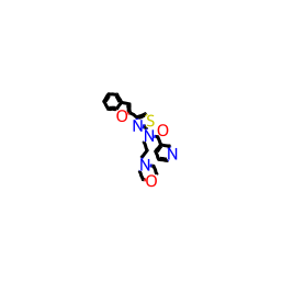 O=C(c1cccnc1)N(CCCN1CCOCC1)c1nc(-c2cc3ccccc3o2)cs1